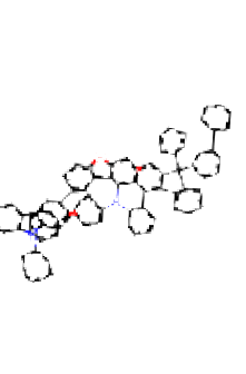 c1ccc(-c2ccc(N(c3ccccc3-c3cccc4c3-c3ccccc3C4(c3ccccc3)c3cccc(-c4ccccc4)c3)c3cccc4oc5ccc(-c6ccc7c(c6)c6ccccc6n7-c6ccccc6)cc5c34)cc2)cc1